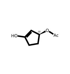 CC(=O)O[C@@H]1C=C(O)CC1